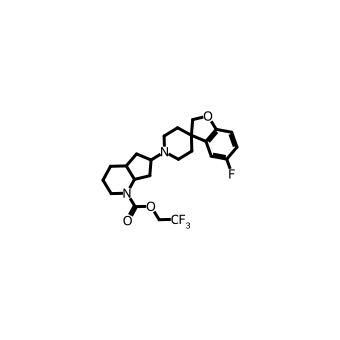 O=C(OCC(F)(F)F)N1CCCC2CC(N3CCC4(CC3)COc3ccc(F)cc34)CC21